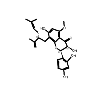 C=C(C)[C@H](CC=C(C)C)Cc1c(O)cc(OC)c2c1O[C@H](c1ccc(O)cc1O)[C@H](O)C2=O